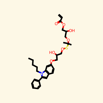 C=CC(=O)OCC(O)COC(C)(C)SOCC(O)COc1ccc2cc(-c3ccccc3)n(CCCCC)c2c1